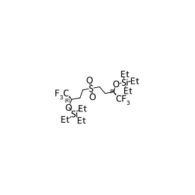 CC[Si](CC)(CC)O[C@H](CCS(=O)(=O)CC[C@@H](O[Si](CC)(CC)CC)C(F)(F)F)C(F)(F)F